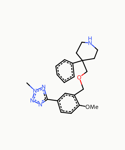 COc1ccc(-c2nnn(C)n2)cc1COCC1(c2ccccc2)CCNCC1